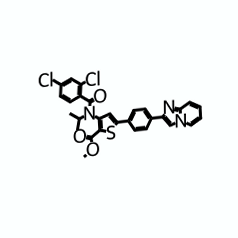 COC(=O)c1sc(-c2ccc(-c3cn4ccccc4n3)cc2)cc1N(C(=O)c1ccc(Cl)cc1Cl)C(C)C